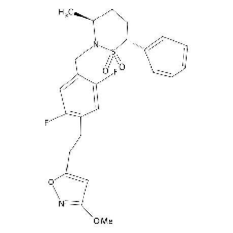 COc1cc(CCc2cc(F)c(CN3[C@@H](C)CC[C@H](c4ccccc4)S3(=O)=O)cc2F)on1